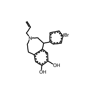 Br.C=CCN1CCc2cc(O)c(O)cc2C(c2ccccc2)C1